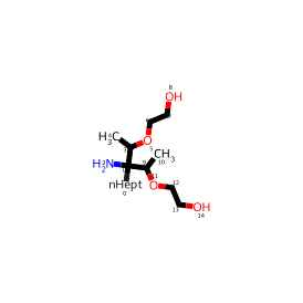 CCCCCCCC(N)(C(C)OCCO)C(C)OCCO